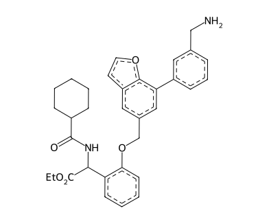 CCOC(=O)C(NC(=O)C1CCCCC1)c1ccccc1OCc1cc(-c2cccc(CN)c2)c2occc2c1